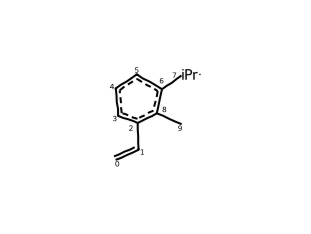 C=Cc1cccc([C](C)C)c1C